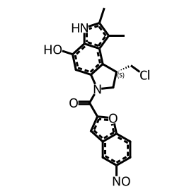 Cc1[nH]c2c(O)cc3c(c2c1C)[C@H](CCl)CN3C(=O)c1cc2cc(N=O)ccc2o1